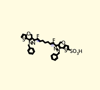 O=S(=O)(O)c1cc2c(s1)-c1c(c(/C(F)=C/CCC/C=C(\F)c3nn(Cc4ccccc4)c4c3COc3ccsc3-4)nn1Cc1ccccc1)CO2